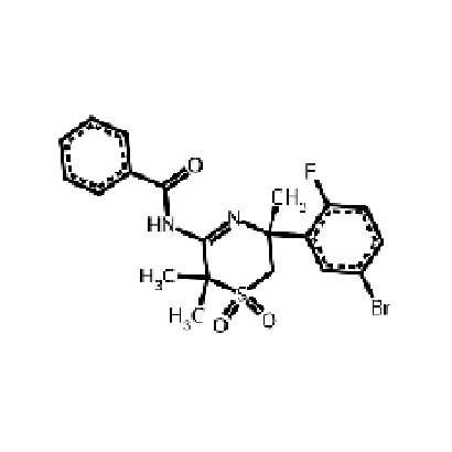 CC1(C)C(NC(=O)c2ccccc2)=N[C@](C)(c2cc(Br)ccc2F)CS1(=O)=O